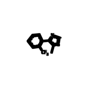 Cc1s[c]nc1-c1ccccc1C(F)(F)F